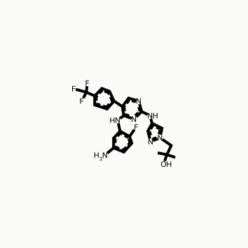 CC(C)(O)Cn1cc(Nc2ncc(-c3ccc(C(F)(F)F)cc3)c(Nc3cc(N)ccc3F)n2)cn1